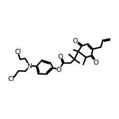 C=CCC1=CC(=O)C(C)(C(C)(C)CC(=O)Oc2ccc(N(CCCl)CCCl)cc2)C(C)C1=O